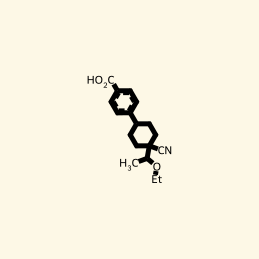 CCOC(C)C1(C#N)CCC(c2ccc(C(=O)O)cc2)CC1